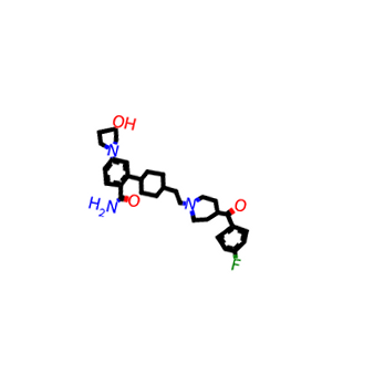 NC(=O)c1ccc(N2CCC(O)C2)cc1C1CCC(CCN2CCC(C(=O)c3ccc(F)cc3)CC2)CC1